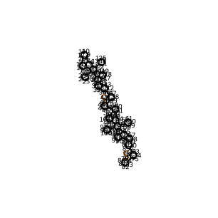 c1ccc(-c2c3cc4c5ccccc5c5cccc(c3c(-c3ccccc3)c3c6cc7ccc8cc(-c9cccc%10c9sc9cccc(-c%11cccc%12c%13cc%14c(-c%15ccccc%15)c%15c%16cc%17ccc%18cc(-c%19cccc%20c%19sc%19ccccc%19%20)ccc%18c%17c%17cccc(c%15c(-c%15ccccc%15)c%14c%14cccc(c%11%12)c%13%14)c%16%17)c9%10)ccc8c7c7cccc(c23)c67)c54)cc1